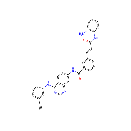 C#Cc1cccc(Nc2ncnc3cc(NC(=O)c4cccc(C=CC(=O)Nc5ccccc5N)c4)ccc23)c1